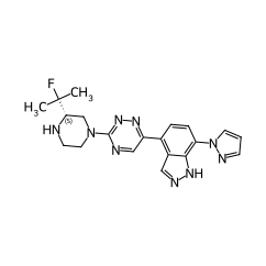 CC(C)(F)[C@@H]1CN(c2ncc(-c3ccc(-n4cccn4)c4[nH]ncc34)nn2)CCN1